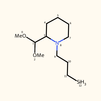 COC(OC)C1CCCCN1CCC[SiH3]